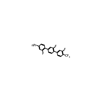 CCCc1ccc(-c2ccc(-c3ccc(C(F)(F)F)c(F)c3)c(F)c2)c(F)c1